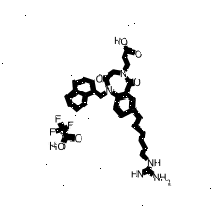 N=C(N)NCCCCCCc1ccc2c(c1)C(=O)N(CCC(=O)O)CC(=O)N2Cc1cccc2ccccc12.O=C(O)C(F)(F)F